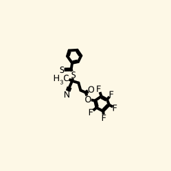 CC(C#N)(CCC(=O)Oc1c(F)c(F)c(F)c(F)c1F)SC(=S)c1ccccc1